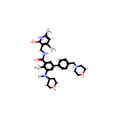 CCN(c1cc(-c2ccc(CN3CCOCC3)cc2)cc(C(=O)NCC2=C(C)C=C(C)NC2O)c1C)C1CCOCC1